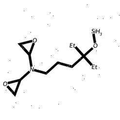 CCC(CC)(CCCN(C1CO1)C1CO1)O[SiH3]